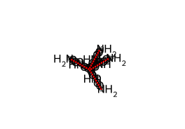 NCCOCCOCCC(=O)NCCCOCCOCC(COCCOCCCNC(=O)CCOCCOCCN)(COCCOCCCNC(=O)CCOCCOCCN)COCCOCCCNC(=O)CCOCCOCCN